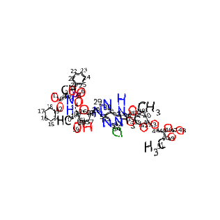 C#C[C@]1(COP(=O)(N[C@@H](C)C(=O)OC2CCCCC2)Oc2ccccc2)O[C@@H](n2cnc3c(NC(=O)OC(C)(C)CC(=O)OCc4oc(=O)oc4C)nc(Cl)nc32)C[C@@H]1O